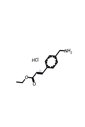 CCOC(=O)/C=C/c1ccc(CN)cc1.Cl